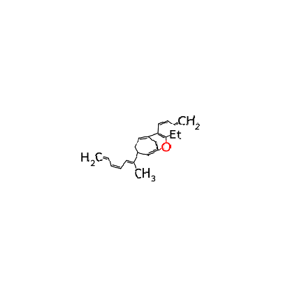 C=C/C=C\C=C(/C)C1C=C2CC(=CC1)C(/C=C\C=C)=C(CC)O2